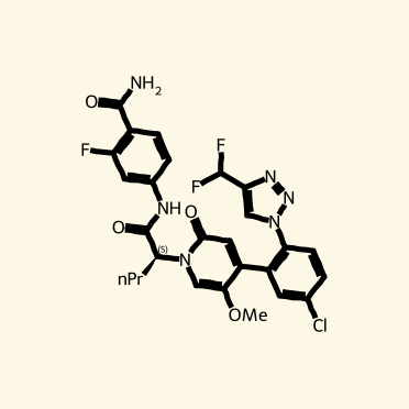 CCC[C@@H](C(=O)Nc1ccc(C(N)=O)c(F)c1)n1cc(OC)c(-c2cc(Cl)ccc2-n2cc(C(F)F)nn2)cc1=O